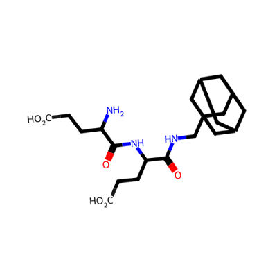 NC(CCC(=O)O)C(=O)NC(CCC(=O)O)C(=O)NCC12CC3CC(CC(C3)C1)C2